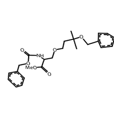 COC(=O)C(COCCC(C)(C)OCc1ccccc1)NC(=O)OCc1ccccc1